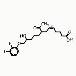 CC(=O)C(C/C=C\CCCC(=O)O)CCCC(O)COc1cccc(F)c1F